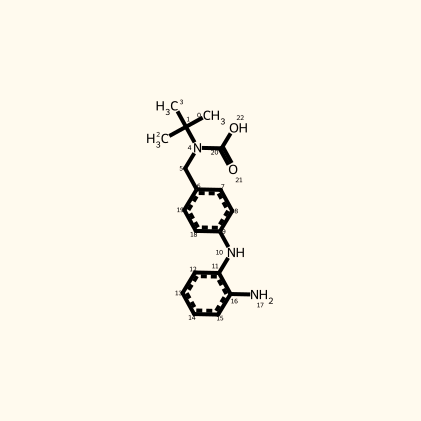 CC(C)(C)N(Cc1ccc(Nc2ccccc2N)cc1)C(=O)O